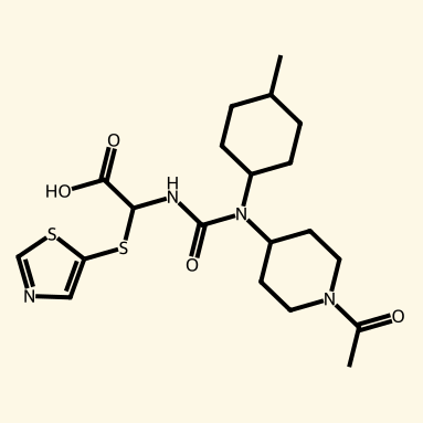 CC(=O)N1CCC(N(C(=O)NC(Sc2cncs2)C(=O)O)C2CCC(C)CC2)CC1